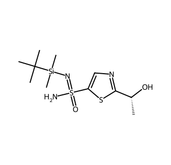 C[C@@H](O)c1ncc(S(N)(=O)=N[Si](C)(C)C(C)(C)C)s1